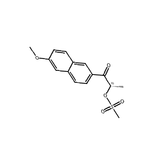 COc1ccc2cc(C(=O)[C@H](C)OS(C)(=O)=O)ccc2c1